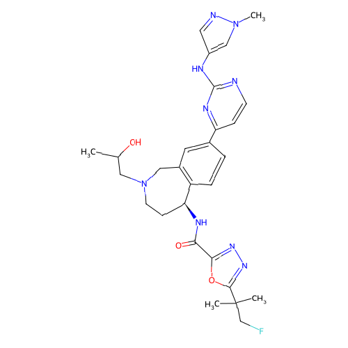 CC(O)CN1CC[C@H](NC(=O)c2nnc(C(C)(C)CF)o2)c2ccc(-c3ccnc(Nc4cnn(C)c4)n3)cc2C1